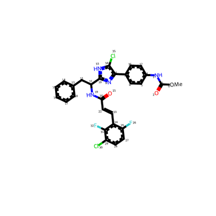 COC(=O)Nc1ccc(-c2nc(C(Cc3ccccc3)NC(=O)C=Cc3c(F)ccc(Cl)c3F)[nH]c2Cl)cc1